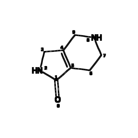 O=C1NCC2=C1CCNC2